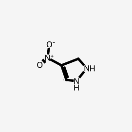 O=[N+]([O-])C1=[C]NNC1